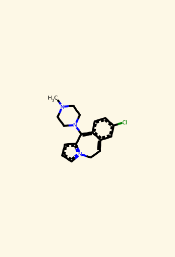 CN1CCN(C2=c3ccc(Cl)cc3=CCn3cccc32)CC1